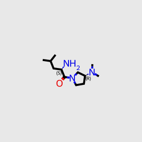 CC(C)C[C@H](N)C(=O)N1CC[C@@H](N(C)C)C1